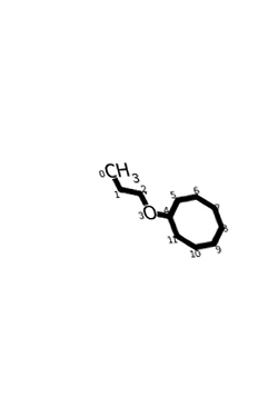 CC[CH]OC1CCCCCCC1